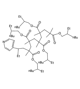 CCCCC(CC)COC(=O)C(C)(C)CC(C)(CC(C)(CC(C)(CC(C)(CC(CC)c1ccncc1)C(=O)OCC(CC)CCCC)C(=O)OCC(CC)CCCC)C(=O)OCC(CC)CCCC)C(=O)OCC(CC)CCCC